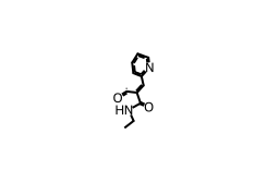 CCNC(=O)/C([C]=O)=C/c1ccccn1